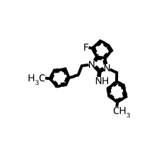 Cc1ccc(CCn2c(=N)n(Cc3ccc(C)cc3)c3cccc(F)c32)cc1